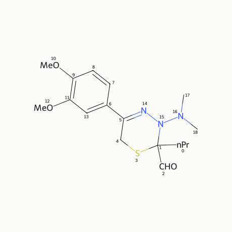 CCCC1(C=O)SCC(c2ccc(OC)c(OC)c2)=NN1N(C)C